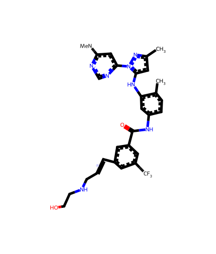 CNc1cc(-n2nc(C)cc2Nc2cc(NC(=O)c3cc(/C=C/CNCCO)cc(C(F)(F)F)c3)ccc2C)ncn1